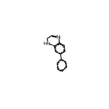 C1=Nc2ccc(-c3ccccc3)cc2NC1